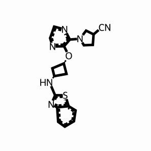 N#CC1CCN(c2nccnc2O[C@H]2C[C@@H](Nc3nc4ccccc4s3)C2)C1